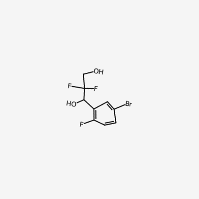 OCC(F)(F)C(O)c1cc(Br)ccc1F